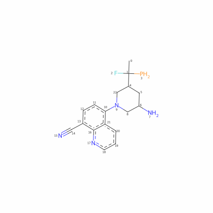 CC(F)(P)C1CC(N)CN(c2ccc(C#N)c3ncccc23)C1